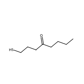 CCCCC(=O)[CH]CCS